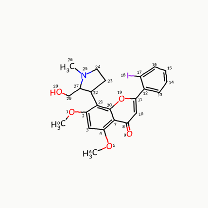 COc1cc(OC)c2c(=O)cc(-c3ccccc3I)oc2c1C1CCN(C)C1CO